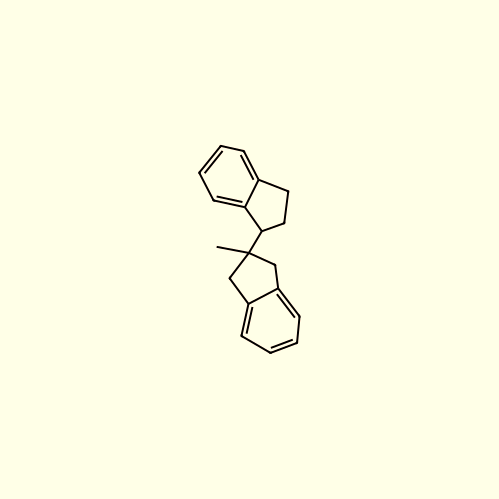 CC1(C2CCc3ccccc32)Cc2ccccc2C1